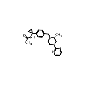 CC(=O)NC1(c2ccc(CN3CCN(c4ncccn4)C[C@H]3C)cc2)CC1